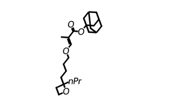 CCCC1(CCCCOC=C(C)C(=O)OC23CC4CC(CC(C4)C2)C3)CCO1